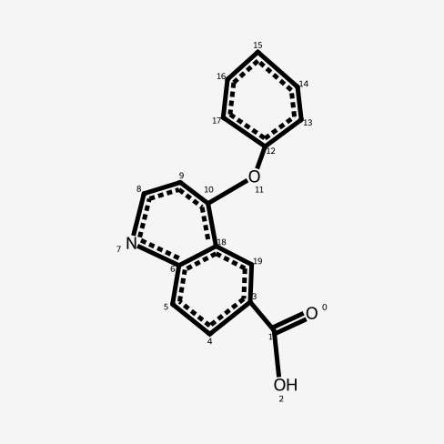 O=C(O)c1ccc2nccc(Oc3ccccc3)c2c1